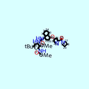 COC(=O)Nc1cc(C(C)(C)C)cc(NC(=O)Nc2ccc(Oc3ccnc(C(=O)N4CCCC4)c3)c3ccccc23)c1OC